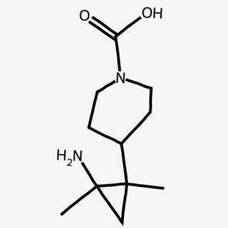 CC1(N)CC1(C)C1CCN(C(=O)O)CC1